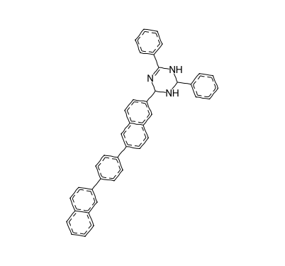 c1ccc(C2=NC(c3ccc4cc(-c5ccc(-c6ccc7ccccc7c6)cc5)ccc4c3)NC(c3ccccc3)N2)cc1